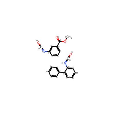 COC(=O)c1cccc(N=C=O)c1.O=C=Nc1ccccc1-c1ccccc1